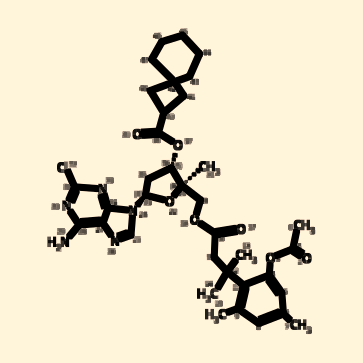 CC(=O)Oc1cc(C)cc(C)c1C(C)(C)CC(=O)OC[C@@]1(C)O[C@@H](n2cnc3c(N)nc(Cl)nc32)C[C@@H]1OC(=O)C1CC2(CCCCC2)C1